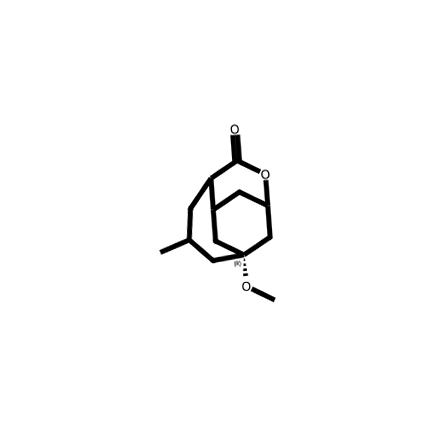 CO[C@]12CC(C)CC3C(=O)OC(CC3C1)C2